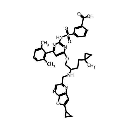 Cc1cccc(C)c1-c1cc(OCC(CCC2(C)CC2)NCc2cnc3oc(C4CC4)cc3n2)nc(NS(=O)(=O)c2cccc(C(=O)O)c2)n1